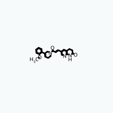 COc1ccccc1C1=CCCN(C(=O)/C=C/c2cnc3c(c2)CCC(=O)N3)C1